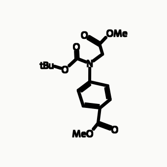 COC(=O)CN(C(=O)OC(C)(C)C)c1ccc(C(=O)OC)cc1